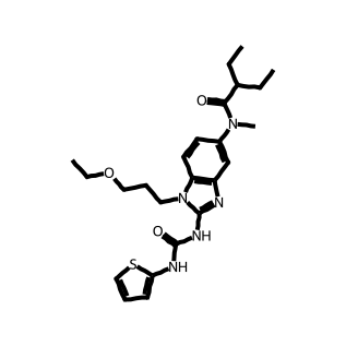 CCOCCCn1c(NC(=O)Nc2cccs2)nc2cc(N(C)C(=O)C(CC)CC)ccc21